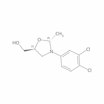 C[C@H]1O[C@H](CO)CN1c1ccc(Cl)c(Cl)c1